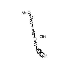 COCCOCCOCCOCCOCCOCCOCCN1CCC2(CCNCC2)CC1.Cl